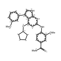 CNC(=O)c1ccc(Nc2nc(OC3CCCC3)c3c(-c4cccc(OC)c4)c[nH]c3n2)c(OC)c1